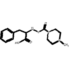 CN1CCN(C(=O)ONC(Cc2ccccc2)C(=O)O)CC1